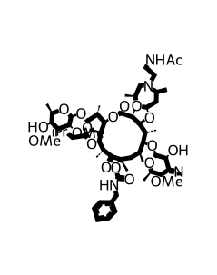 CON=C1C[C@@H](C)O[C@@H](O[C@@H]2[C@@H](C)[C@H](O[C@H]3CC(C)N(CCNC(C)=O)C[C@H](C)O3)[C@@H](C)C(=O)O[C@H]([C@@H](C)CO[C@@H]3O[C@H](C)[C@@H](O)[C@@H](OC)[C@H]3OC)[C@H](C)[C@@H](OC(=O)CC(C)C)[C@@H](C)C(=O)[C@@](C)(OC(=O)NCc3ccccc3)C[C@@H]2C)[C@@H]1O